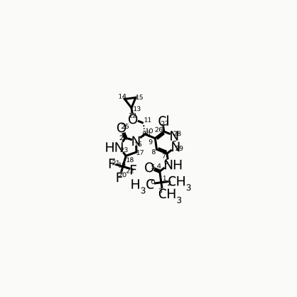 CC(C)(C)C(=O)Nc1cc([C@@H](COC2CC2)N2CC(C(F)(F)F)NC2=O)c(Cl)nn1